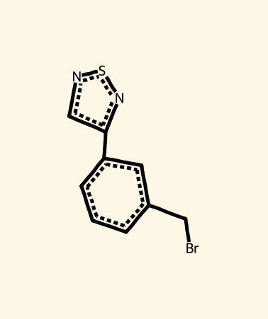 BrCc1cccc(-c2cnsn2)c1